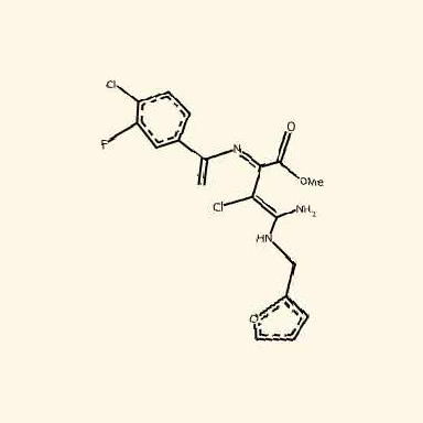 C=C(/N=C(C(=O)OC)\C(Cl)=C(/N)NCc1ccco1)c1ccc(Cl)c(F)c1